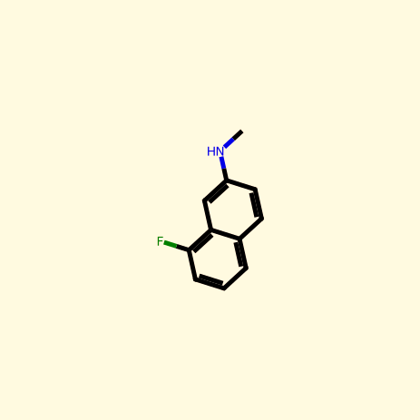 CNc1ccc2cccc(F)c2c1